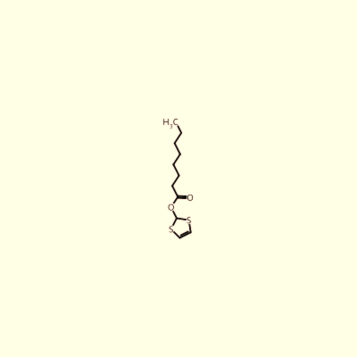 CCCCCCCC(=O)OC1SC=CS1